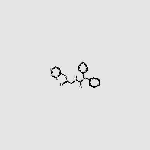 O=C(CNC(=O)N(c1ccccc1)c1ccccc1)Sc1ccnnn1